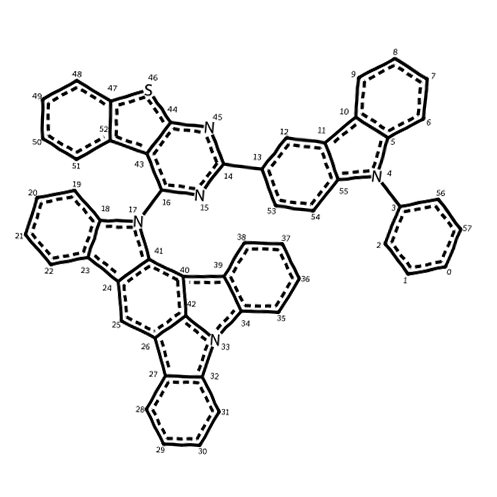 c1ccc(-n2c3ccccc3c3cc(-c4nc(-n5c6ccccc6c6cc7c8ccccc8n8c9ccccc9c(c65)c78)c5c(n4)sc4ccccc45)ccc32)cc1